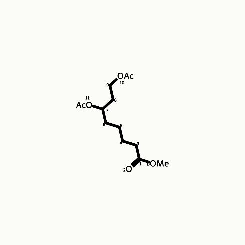 COC(=O)CCCCC(CCOC(C)=O)OC(C)=O